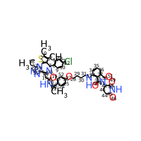 Cc1sc2c(c1C)C(c1ccc(Cl)cc1)=N[C@@H](CC(=O)N[C@H](C)c1ccc(OCCCCNc3cccc4c3C(=O)N(C3CCC(=O)NC3=O)C4=O)cc1)c1nnc(C)n1-2